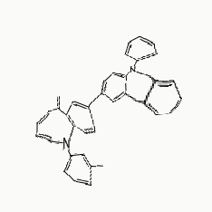 C=C1/C=C\C=C/N(c2cccc(C)c2)c2ccc(-c3ccc4c(c3)c3ccccc3n4-c3ccccc3)cc21